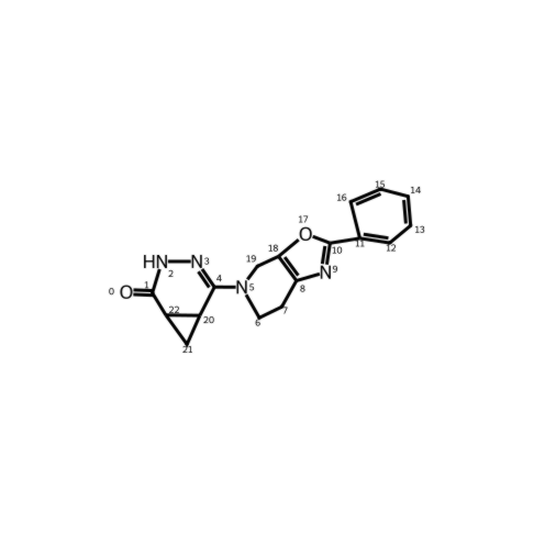 O=C1NN=C(N2CCc3nc(-c4ccccc4)oc3C2)C2CC12